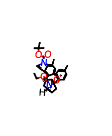 CCO[C@@H]1C[C@@H]2CCC(c3ccc(C)cc3)(C1)N2Cc1c(OC)cc(C)c2c1ccn2C(=O)OC(C)(C)C